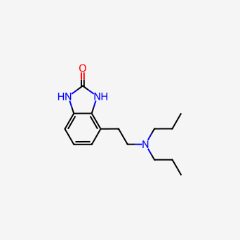 CCCN(CCC)CCc1cccc2[nH]c(=O)[nH]c12